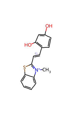 C[n+]1c(/C=C/c2ccc(O)cc2O)sc2ccccc21